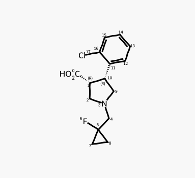 O=C(O)[C@H]1CN(CC2(F)CC2)C[C@H]1c1ccccc1Cl